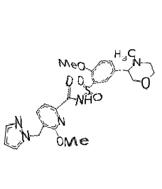 COc1ccc(C2COCCN2C)cc1S(=O)(=O)NC(=O)c1ccc(Cn2cccn2)c(OC)n1